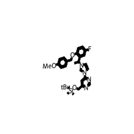 COc1ccc(COc2ccc(F)cc2C(C)N2C=CN(c3cc(CO[Si](C)(C)C(C)(C)C)ncn3)C2)cc1